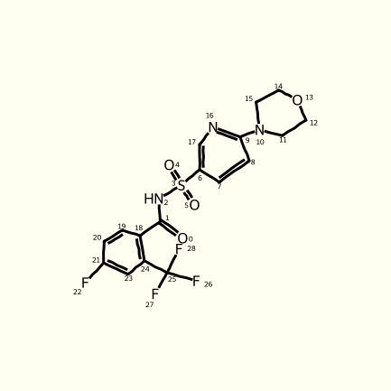 O=C(NS(=O)(=O)c1ccc(N2CCOCC2)nc1)c1ccc(F)cc1C(F)(F)F